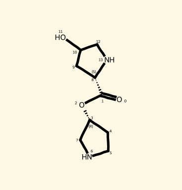 O=C(O[C@@H]1CCNC1)[C@@H]1CC(O)CN1